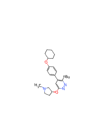 CCCCc1nnc(O[C@H]2CCN(C)C2)cc1-c1ccc(OC2CCCCC2)cc1